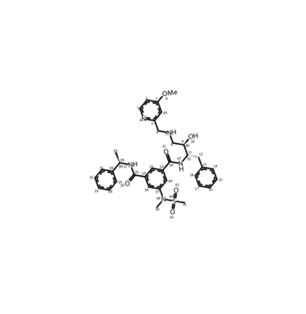 COc1ccnc(CNC[C@@H](O)[C@H](Cc2ccccc2)NC(=O)c2cc(C(=O)N[C@H](C)c3ccccc3)cc(N(C)S(C)(=O)=O)c2)c1